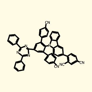 N#Cc1ccc(-c2cc(-c3nc(-c4ccccc4)nc(-c4ccccc4)n3)cc(-c3ccc(C#N)cc3)c2-n2c3ccccc3c3cc(-c4ccc(C#N)cc4C#N)ccc32)cc1